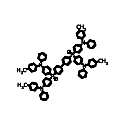 Cc1ccc(N(c2ccccc2)c2ccc(P(=O)(c3ccc(-c4ccc(P(=O)(c5ccc(N(c6ccccc6)c6ccc(C)cc6)cc5)c5ccc(N(c6ccccc6)c6ccc(C)cc6)cc5)cc4)cc3)c3ccc(N(c4ccccc4)c4ccc(C)cc4)cc3)cc2)cc1